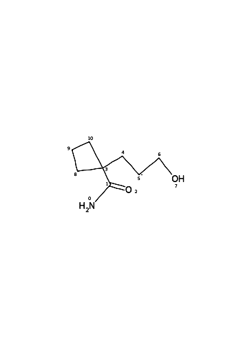 NC(=O)C1(C[CH]CO)CCC1